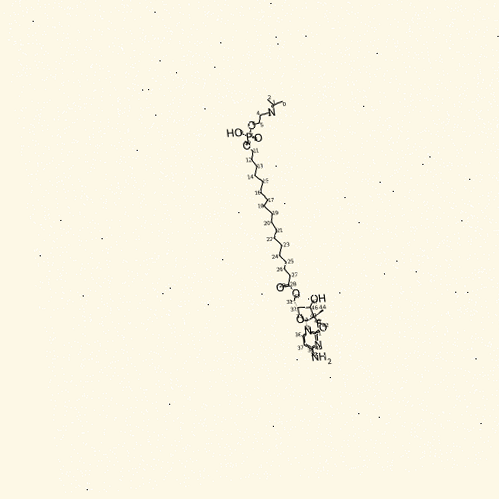 CC(C)=NCCOP(=O)(O)OCCCCCCCCCCCCCCCCCC(=O)OC[C@H]1O[C@@H](n2ccc(N)nc2=O)[C@@](C)(F)C1O